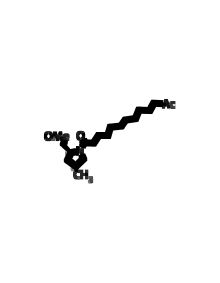 COC[C@@H]1C[C@@H](C)CN1C(=O)CCCCCCCCCCC(C)=O